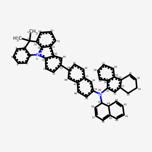 CC1(C)c2ccccc2-n2c3ccc(-c4ccc5cc(N(c6cc7c(c8ccccc68)C=CCC7)C6C=CC=C7C=CC=CC76)ccc5c4)cc3c3cccc1c32